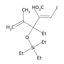 C=C(C)C(CC)(O[Si](CC)(CC)CC)C(=CI)C(=O)O